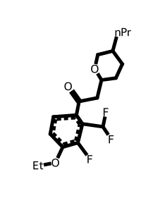 CCCC1CCC(CC(=O)c2ccc(OCC)c(F)c2C(F)F)OC1